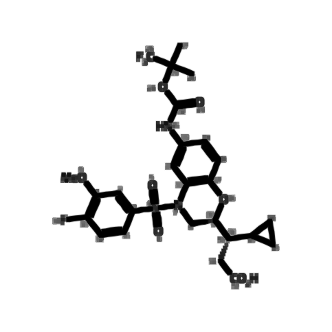 COc1cc(S(=O)(=O)N2C[C@H]([C@@H](CC(=O)O)C3CC3)Oc3ccc(NC(=O)OC(C)(C)C(F)(F)F)cc32)ccc1F